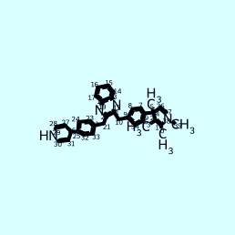 CC1=C(C)C(C)(c2ccc(Cc3nc4ccccc4nc3Cc3ccc(C4C=CNC=C4)cc3)cc2)C=CN1C